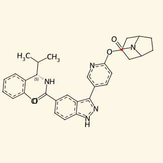 CC(C)[C@H](NC(=O)c1ccc2[nH]nc(-c3ccc(OC4CC5CCC(C4)N5C=O)nc3)c2c1)c1ccccc1Cl